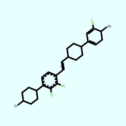 CCCC1CC=C(C2CCC(/C=C/c3ccc(C4CCC(CC)CC4)c(F)c3F)CC2)C=C1F